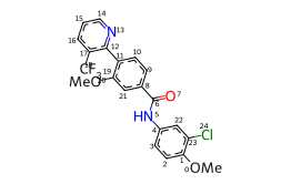 COc1ccc(NC(=O)c2ccc(-c3ncccc3C(F)(F)F)c(OC)c2)cc1Cl